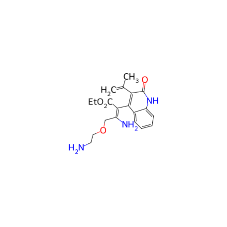 C=C(C)c1c(/C(C(=O)OCC)=C(\N)COCCN)c2ccccc2[nH]c1=O